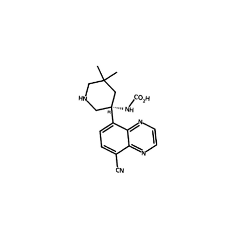 CC1(C)CNC[C@](NC(=O)O)(c2ccc(C#N)c3nccnc23)C1